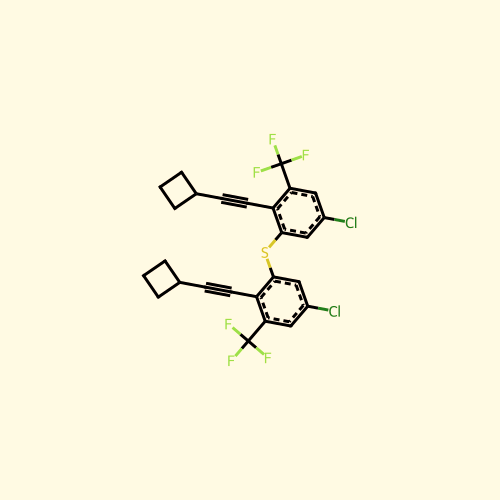 FC(F)(F)c1cc(Cl)cc(Sc2cc(Cl)cc(C(F)(F)F)c2C#CC2CCC2)c1C#CC1CCC1